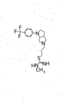 CNC(=N)SCCCN1CC2CCN(c3ccc(C(F)(F)F)cc3)C2C1